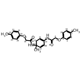 Cc1ccc(OCC(=O)NC2=CCC(C)(NC(=O)COc3ccc(C)cc3)C=C2)cc1